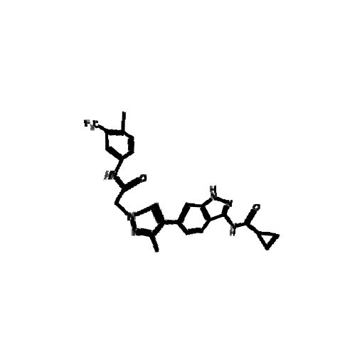 Cc1ccc(NC(=O)Cn2cc(-c3ccc4c(NC(=O)C5CC5)n[nH]c4c3)c(C)n2)cc1C(F)(F)F